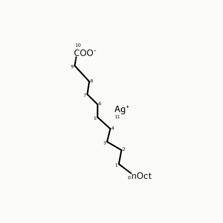 CCCCCCCCCCCCCCCCCC(=O)[O-].[Ag+]